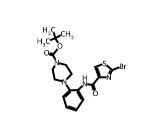 CC(C)(C)OC(=O)N1CCN(c2ccccc2NC(=O)c2csc(Br)n2)CC1